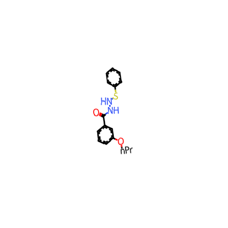 CCCOc1cccc(C(=O)NNSc2ccccc2)c1